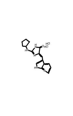 Cl.Cl.O=C1NC(NC2CCCC2)=NC1=Cc1c[nH]c2ncccc12